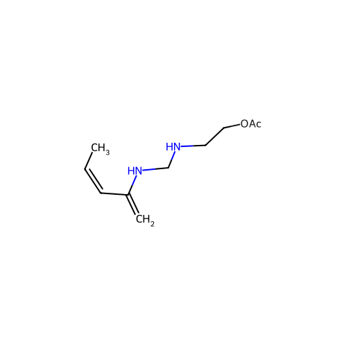 C=C(/C=C\C)NCNCCOC(C)=O